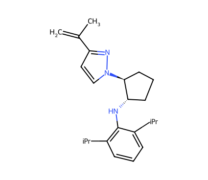 C=C(C)c1ccn([C@H]2CCC[C@@H]2Nc2c(C(C)C)cccc2C(C)C)n1